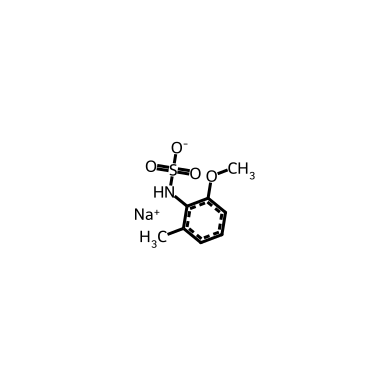 COc1cccc(C)c1NS(=O)(=O)[O-].[Na+]